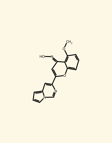 COc1cccc2oc(-c3cc4cccn4cn3)cc(=NO)c12